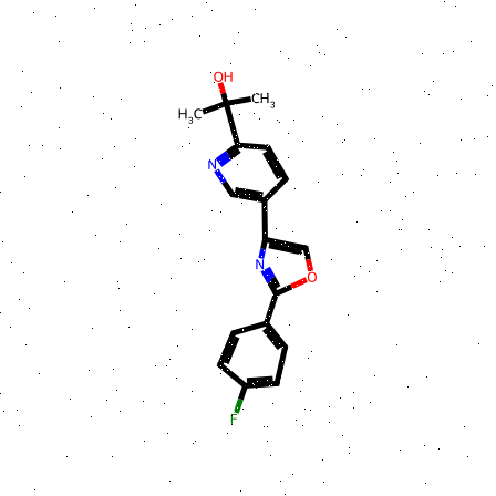 CC(C)(O)c1ccc(-c2coc(-c3ccc(F)cc3)n2)cn1